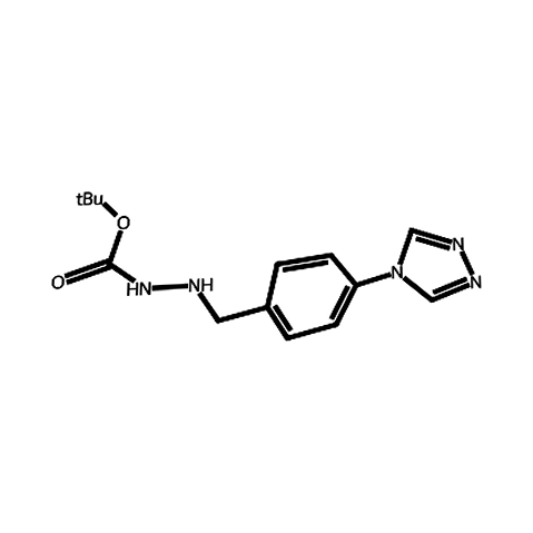 CC(C)(C)OC(=O)NNCc1ccc(-n2cnnc2)cc1